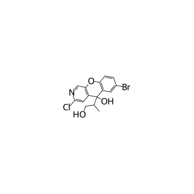 CC(CO)C1(O)c2cc(Br)ccc2Oc2cnc(Cl)cc21